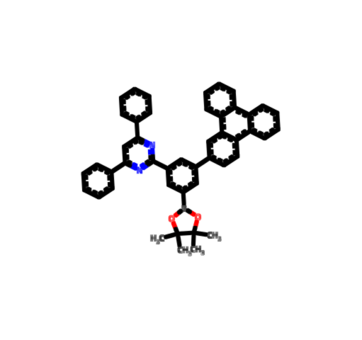 CC1(C)OB(c2cc(-c3ccc4c5ccccc5c5ccccc5c4c3)cc(-c3nc(-c4ccccc4)cc(-c4ccccc4)n3)c2)OC1(C)C